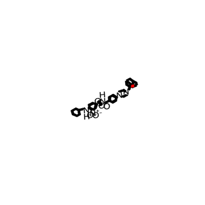 O=C(NS(=O)(=O)c1ccc(NCC2CCCCC2)c([N+](=O)[O-])c1)c1ccc(N2CCN(CC34CC5CC(CC(C5)C3)C4)CC2)cc1